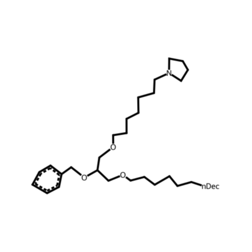 CCCCCCCCCCCCCCCCOCC(COCCCCCCCN1CCCC1)OCc1ccccc1